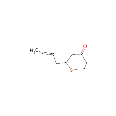 CC=CCC1CC(=O)CCS1